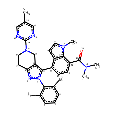 CCc1cccc(CC)c1-n1nc2c(c1-c1ccc(C(=O)N(C)C)c3c1ccn3C)CN(c1ncc(C)cn1)CC2